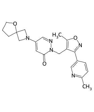 Cc1ccc(-c2noc(C)c2Cn2ncc(N3CC4(CCCO4)C3)cc2=O)cn1